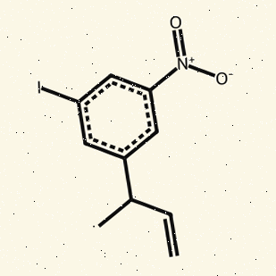 [CH2]C(C=C)c1cc(I)cc([N+](=O)[O-])c1